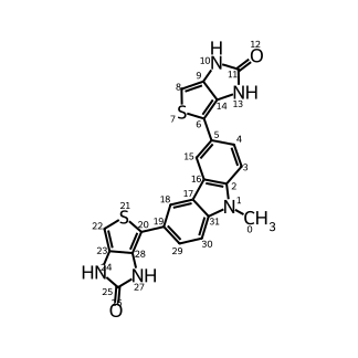 Cn1c2ccc(-c3scc4[nH]c(=O)[nH]c34)cc2c2cc(-c3scc4[nH]c(=O)[nH]c34)ccc21